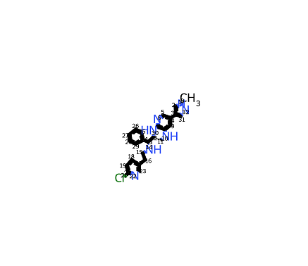 Cn1cc(-c2cnc3c(c2)NC[C@H]([C@H](NCCc2ccc(Cl)nc2)c2ccccc2)N3)cn1